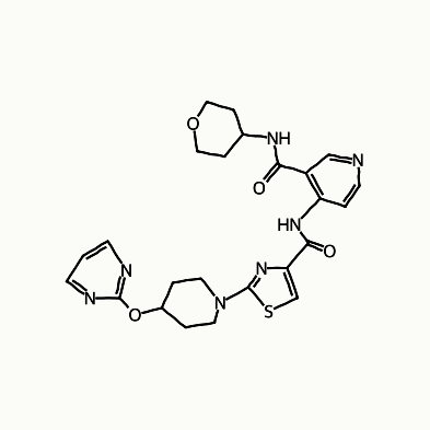 O=C(Nc1ccncc1C(=O)NC1CCOCC1)c1csc(N2CCC(Oc3ncccn3)CC2)n1